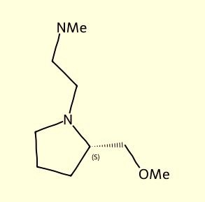 [CH2-][NH2+]CCN1CCC[C@H]1COC